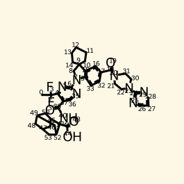 CC(F)(F)c1nc(N2CC3(CCCCC3)c3cc(C(=O)N4CCN(c5ncccn5)CC4)ccc32)ncc1C(=O)NC1(C(=O)O)C2CC3CC(C2)CC1C3